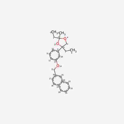 CCC1(C)OCC(CC)(c2cccc(OCc3ccc4ccccc4c3)c2)O1